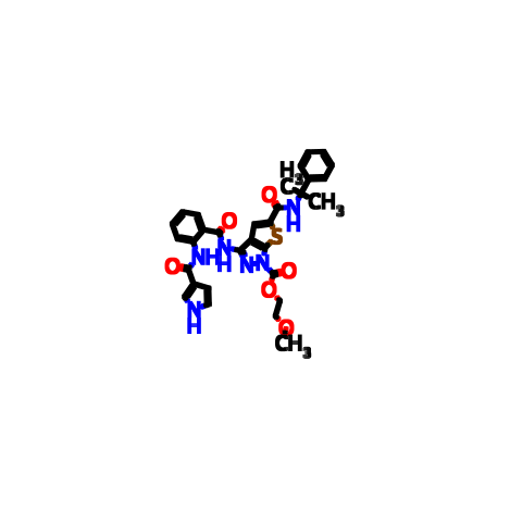 COCCOC(=O)n1nc(NC(=O)c2ccccc2NC(=O)c2cc[nH]c2)c2cc(C(=O)NC(C)(C)c3ccccc3)sc21